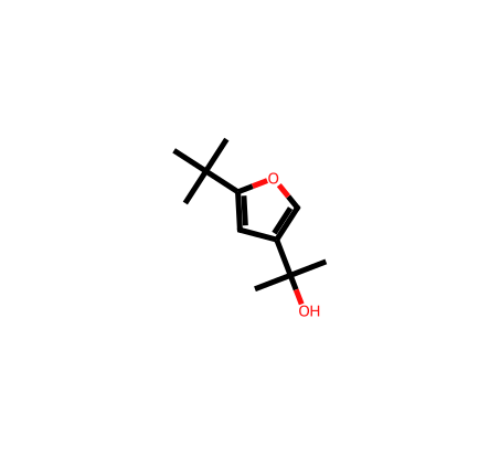 CC(C)(C)c1cc(C(C)(C)O)co1